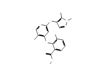 CNC(=O)c1cccc(F)c1Nc1cc(Nc2cnn(C)c2C)ncc1Cl